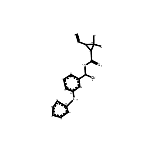 C=CC1C(C(=O)OC(C#N)c2cccc(Oc3ccccc3)c2)C1(C)C